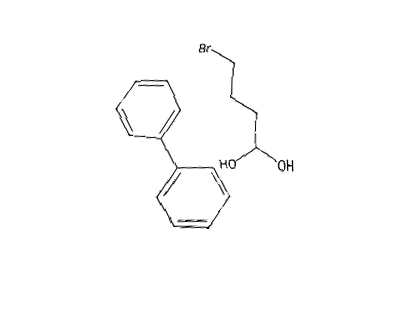 OC(O)CCCBr.c1ccc(-c2ccccc2)cc1